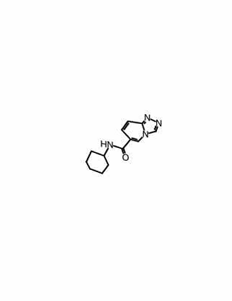 O=C(NC1CCCCC1)c1ccc2nncn2c1